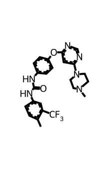 Cc1ccc(NC(=O)Nc2ccc(Oc3cc(N4CCN(C)CC4)ncn3)cc2)cc1C(F)(F)F